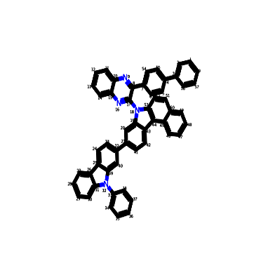 c1ccc(-c2ccc(-c3nc4ccccc4nc3-n3c4cc(-c5ccc6c7ccccc7n(-c7ccccc7)c6c5)ccc4c4c5ccccc5ccc43)cc2)cc1